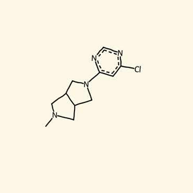 CN1CC2CN(c3cc(Cl)ncn3)CC2C1